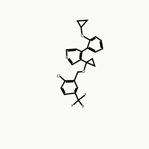 FC(F)(F)c1ccc(Cl)c(COC2(c3cnccc3-c3ccccc3OC3CC3)CC2)c1